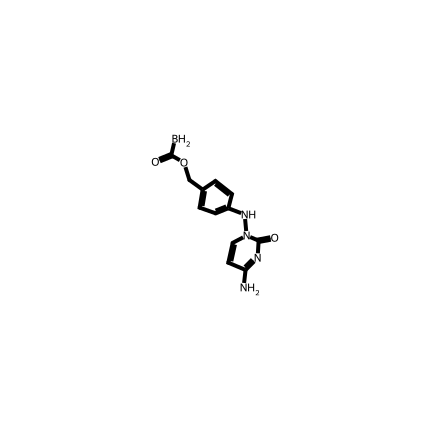 BC(=O)OCc1ccc(Nn2ccc(N)nc2=O)cc1